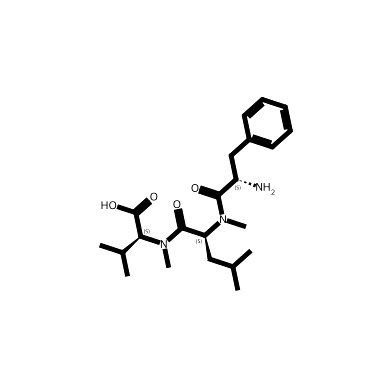 CC(C)C[C@@H](C(=O)N(C)[C@H](C(=O)O)C(C)C)N(C)C(=O)[C@@H](N)Cc1ccccc1